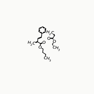 C=C(C=Cc1ccccc1)C(=O)OCCCC.C=CC(=O)OCC